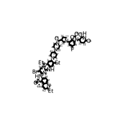 CCOc1cc(N2CCC(N3CCN(C(=O)C4CCN(c5cc(F)cc6c5oc(=O)n6C5CCC(=O)NC5=O)C4)CC3)CC2)c(CC)cc1Nc1ncc(Br)c(Nc2ccc3nc(CC)ccc3c2P(C)(C)=O)n1